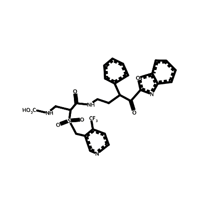 O=C(O)NCC(C(=O)NCCC(C(=O)c1nc2ccccc2o1)c1ccccc1)S(=O)(=O)Cc1cnccc1C(F)(F)F